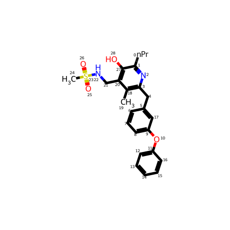 CCCc1nc(Cc2cccc(Oc3ccccc3)c2)c(C)c(CNS(C)(=O)=O)c1O